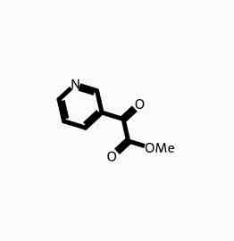 COC(=O)C(=O)c1cccnc1